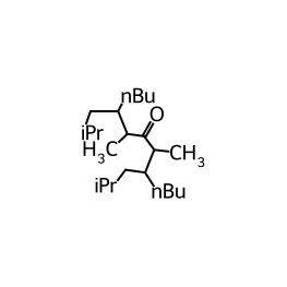 CCCCC(CC(C)C)C(C)C(=O)C(C)C(CCCC)CC(C)C